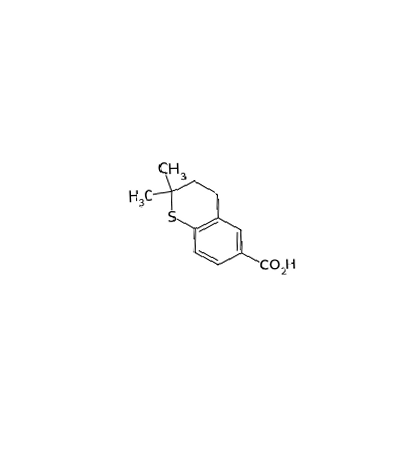 CC1(C)CCc2cc(C(=O)O)ccc2S1